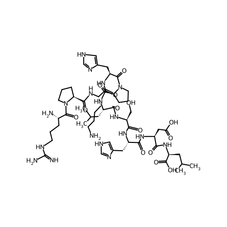 CC(C)C[C@H](NC(=O)[C@H](CC(=O)O)NC(=O)[C@H](Cc1c[nH]cn1)NC(=O)[C@H](CO)NC(=O)[C@H](CC(C)C)NC(=O)[C@@H]1CCCN1C(=O)[C@H](Cc1c[nH]cn1)NC(=O)[C@H](CCCCN)NC(=O)[C@@H]1CCCN1C(=O)[C@@H](N)CCCNC(=N)N)C(=O)O